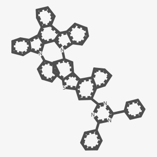 c1ccc(-c2nc(-c3ccccc3)nc(-c3cc4sc5ccc(-n6c7ccccc7c7c8ccccc8c8c9ccccc9n(-c9ccccc9)c8c76)cc5c4c4ccccc34)n2)cc1